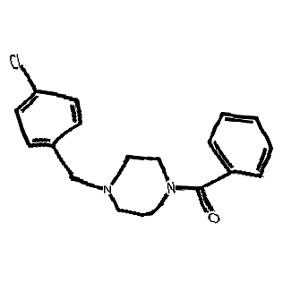 O=C(c1[c]cccc1)N1CCN(Cc2ccc(Cl)cc2)CC1